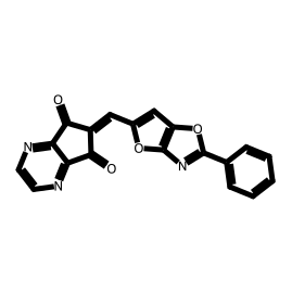 O=C1C(=Cc2cc3oc(-c4ccccc4)nc3o2)C(=O)c2nccnc21